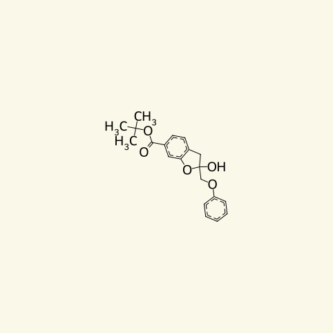 CC(C)(C)OC(=O)c1ccc2c(c1)OC(O)(COc1ccccc1)C2